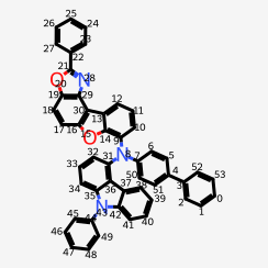 c1ccc(-c2ccc(N(c3cccc4c3oc3ccc5oc(-c6ccccc6)nc5c34)c3cccc4c3c3ccccc3n4-c3ccccc3)cc2)cc1